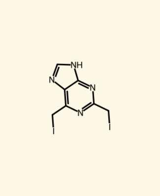 ICc1nc(CI)c2nc[nH]c2n1